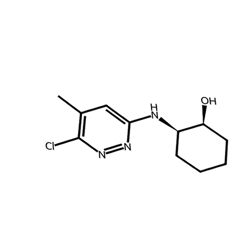 Cc1cc(N[C@@H]2CCCC[C@@H]2O)nnc1Cl